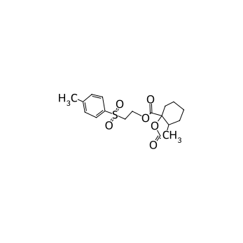 Cc1ccc(S(=O)(=O)CCOC(=O)C2(O[C]=O)CCCCC2C)cc1